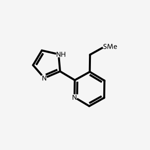 CSCc1cccnc1-c1ncc[nH]1